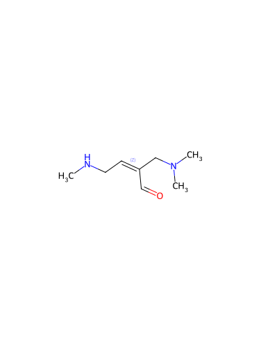 CNC/C=C(\C=O)CN(C)C